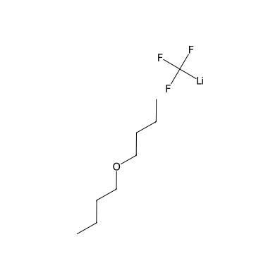 CCCCOCCCC.[Li][C](F)(F)F